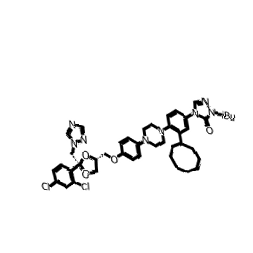 CCC(C)n1ncn(-c2ccc(N3CCN(c4ccc(OC[C@@H]5CO[C@@](Cn6cncn6)(c6ccc(Cl)cc6Cl)O5)cc4)CC3)c(C3CCCCCCC3)c2)c1=O